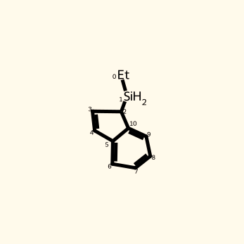 CC[SiH2]C1C=Cc2ccccc21